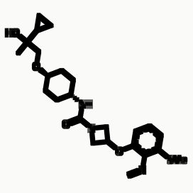 C=Nc1c(OC2CN(C(=O)N[C@H]3CC[C@H](OCC(C)(O)C4CC4)CC3)C2)cccc1SC